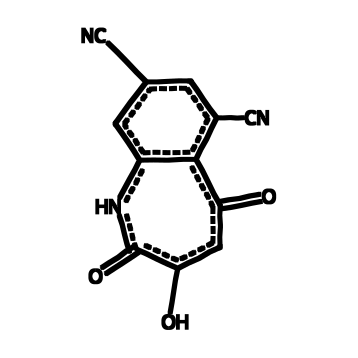 N#Cc1cc(C#N)c2c(=O)cc(O)c(=O)[nH]c2c1